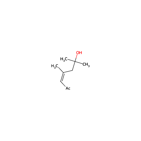 CC(=O)C=C(C)CC(C)(C)O